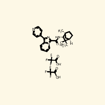 CC1(C)[C@@H]2CC[C@@](C)(C2)[C@H]1NC(=O)c1nc(-c2ccncc2)c2ccccn12.O=C(O)C(F)(F)F.O=C(O)C(F)(F)F